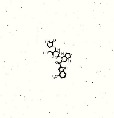 O=C(CO)C(C[C@@H]1CCNC1=O)NC(=O)[C@@H]1[C@H]2CCC[C@H]2CN1C(=O)c1cc2c(C(F)(F)F)cccc2[nH]1